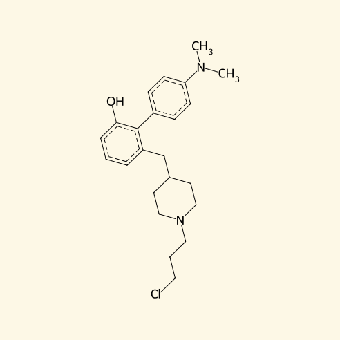 CN(C)c1ccc(-c2c(O)cccc2CC2CCN(CCCCl)CC2)cc1